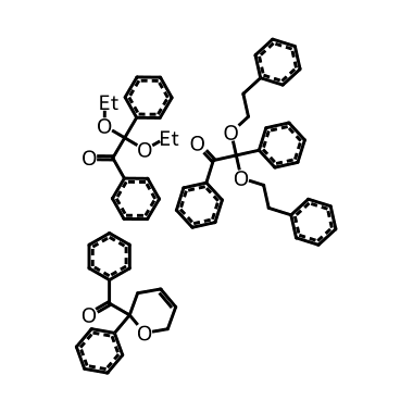 CCOC(OCC)(C(=O)c1ccccc1)c1ccccc1.O=C(c1ccccc1)C(OCCc1ccccc1)(OCCc1ccccc1)c1ccccc1.O=C(c1ccccc1)C1(c2ccccc2)CC=CCO1